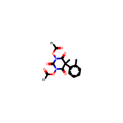 CCC(=O)ON1C(=O)N(OC(=O)CC)C(=O)C(C)(c2ccccc2C)C1=O